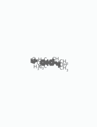 CCC(O)(C=Cc1ccc(C(CC)(CC)c2ccc(OCC3CCCO3)c(C)c2)cc1C)CC